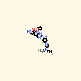 CN(C)[C@H]1CCN(c2ccc(Nc3ncc4c(n3)N(C3CCCC3)C(O)C3(CCNC3=O)C4)cc2F)C1